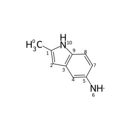 Cc1cc2cc([NH])ccc2[nH]1